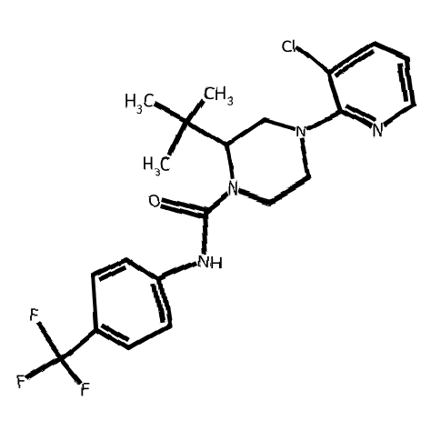 CC(C)(C)C1CN(c2ncccc2Cl)CCN1C(=O)Nc1ccc(C(F)(F)F)cc1